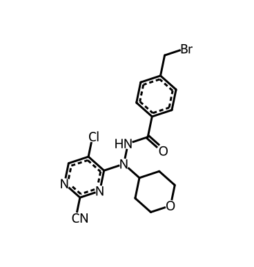 N#Cc1ncc(Cl)c(N(NC(=O)c2ccc(CBr)cc2)C2CCOCC2)n1